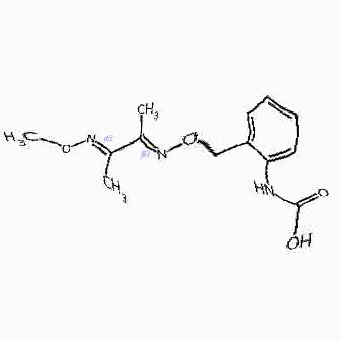 CO/N=C(C)/C(C)=N/OCc1ccccc1NC(=O)O